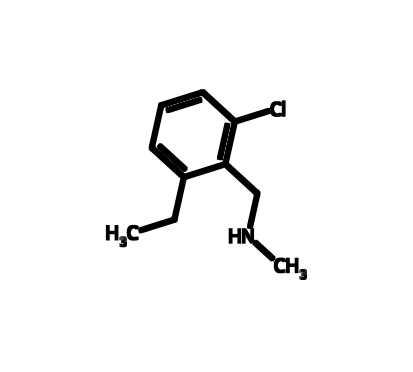 CCc1cccc(Cl)c1CNC